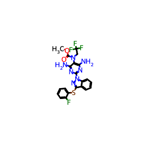 COC(=O)N(CC(F)(F)F)c1c(N)nc(-n2nc(Sc3ccccc3F)c3ccccc32)nc1N